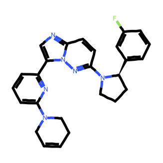 Fc1cccc([C@H]2CCCN2c2ccc3ncc(-c4cccc(N5CC=CCC5)n4)n3n2)c1